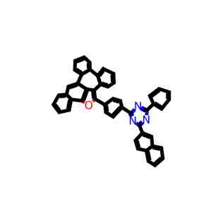 c1ccc(-c2nc(-c3ccc(-c4oc5c6c(cc7ccccc75)-c5ccccc5-c5ccccc5-c46)cc3)nc(-c3ccc4ccccc4c3)n2)cc1